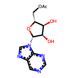 CC(=O)OC[C@H]1O[C@@H](n2cnc3cncnc32)[C@H](O)[C@@H]1O